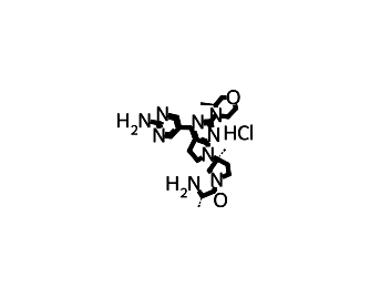 C[C@H](N)C(=O)N1CC[C@](C)(N2CCc3c(-c4cnc(N)nc4)nc(N4CCOC[C@@H]4C)nc32)C1.Cl